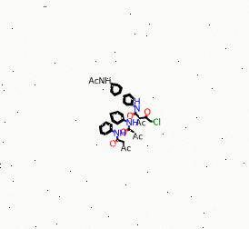 CC(=O)C(C(=O)CCl)C(=O)Nc1ccccc1.CC(=O)CC(=O)Nc1ccccc1.CC(=O)CC(=O)Nc1ccccc1.CC(=O)Nc1ccccc1